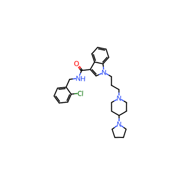 O=C(NCc1ccccc1Cl)c1cn(CCCN2CCC(N3CCCC3)CC2)c2ccccc12